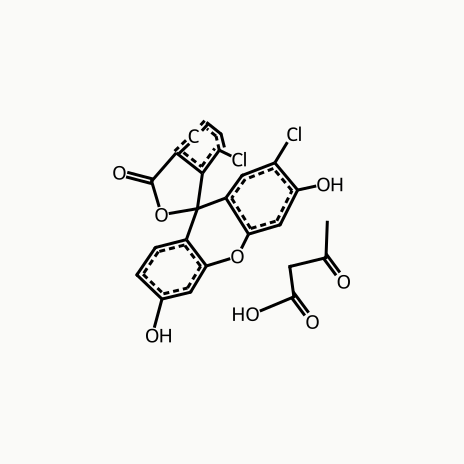 CC(=O)CC(=O)O.O=C1OC2(c3ccc(O)cc3Oc3cc(O)c(Cl)cc32)c2c(Cl)cccc21